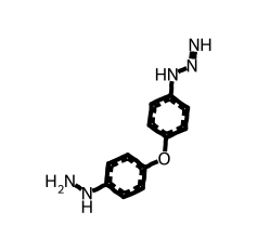 N=NNc1ccc(Oc2ccc(NN)cc2)cc1